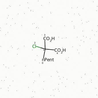 CCCCCC(Cl)(C(=O)O)C(=O)O